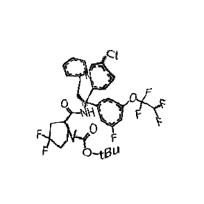 CC(C)(C)OC(=O)N1CC(F)(F)CC1C(=O)N[C@@](Cc1ccccc1)(c1cc(F)cc(OC(F)(F)C(F)F)c1)c1ccc(Cl)cn1